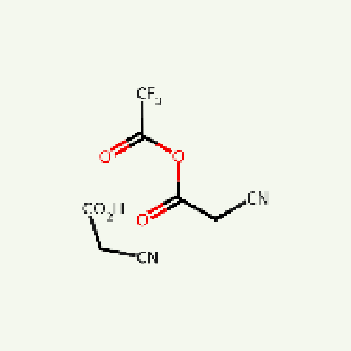 N#CCC(=O)O.N#CCC(=O)OC(=O)C(F)(F)F